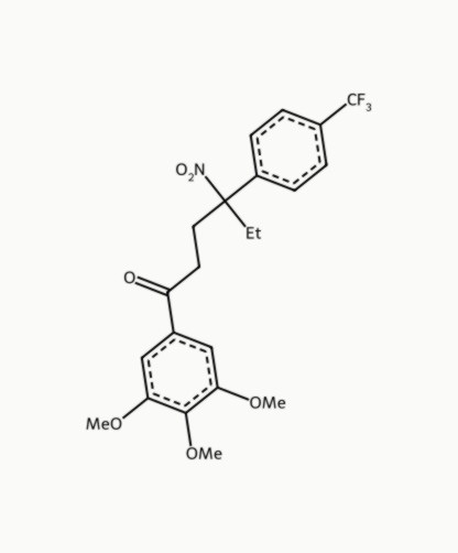 CCC(CCC(=O)c1cc(OC)c(OC)c(OC)c1)(c1ccc(C(F)(F)F)cc1)[N+](=O)[O-]